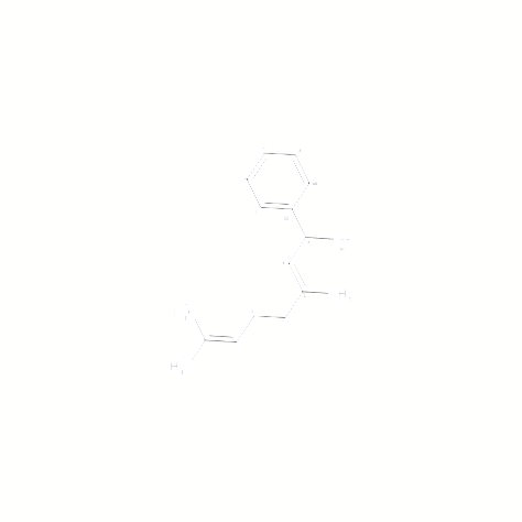 CC(C)=CCC/C(C)=C/C(O)c1ccccc1